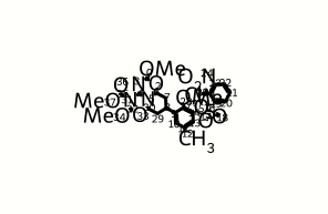 COC(=O)N=C(N1CCC(c2cc(C)cc(OS(=O)(=O)c3cccc([N+](=O)[O-])c3Cl)c2OC)CC1)N(C(=O)OC)C(=O)OC